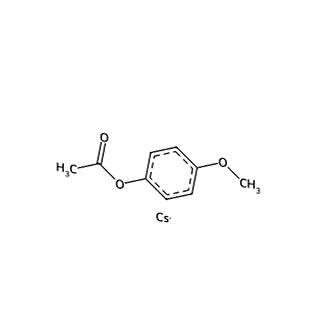 COc1ccc(OC(C)=O)cc1.[Cs]